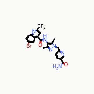 Cc1nn(Cc2ccc(C(N)=O)cn2)c(C)c1NC(=O)c1cc(C(F)(F)F)nc2ccc(Br)cc12